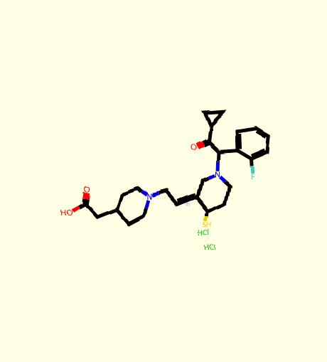 Cl.Cl.O=C(O)CC1CCN(C/C=C2\CN(C(C(=O)C3CC3)c3ccccc3F)CCC2S)CC1